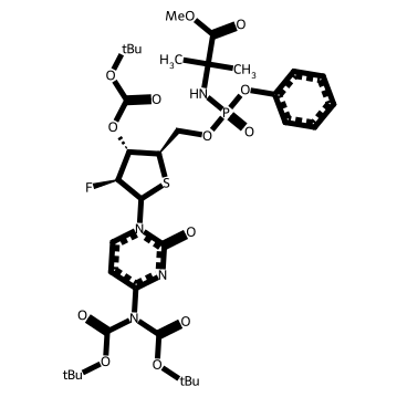 COC(=O)C(C)(C)NP(=O)(OC[C@H]1SC(n2ccc(N(C(=O)OC(C)(C)C)C(=O)OC(C)(C)C)nc2=O)[C@@H](F)[C@@H]1OC(=O)OC(C)(C)C)Oc1ccccc1